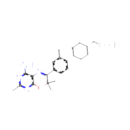 Cc1nc(N)c2c(n1)OC(C)(C)C(c1ccc([C@H]3CC[C@H](CC(=O)O)CC3)c(C)c1)=N2